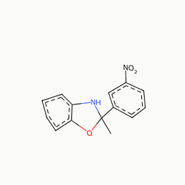 CC1(c2cccc([N+](=O)[O-])c2)Nc2ccccc2O1